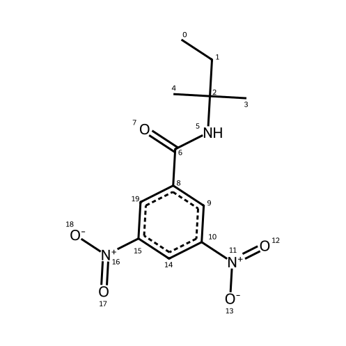 CCC(C)(C)NC(=O)c1cc([N+](=O)[O-])cc([N+](=O)[O-])c1